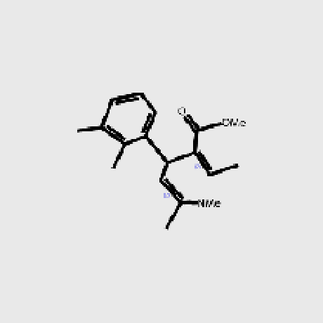 C/C=C(\C(=O)OC)C(/C=C(/C)NC)c1cccc(C)c1C